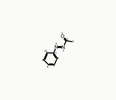 CC(=O)N=Nc1ccccc1